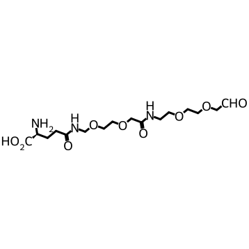 N[C@@H](CCC(=O)NCOCCOCC(=O)NCCOCCOCC=O)C(=O)O